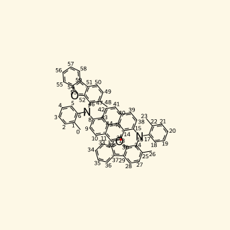 Cc1ccccc1N(c1ccc2ccc3c(N(c4ccccc4C)c4c(C)ccc5c4oc4ccccc45)ccc4ccc1c2c43)c1c(C)ccc2c1oc1ccccc12